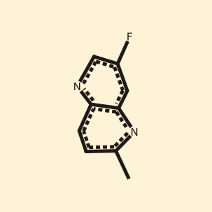 Cc1ccc2ncc(F)cc2n1